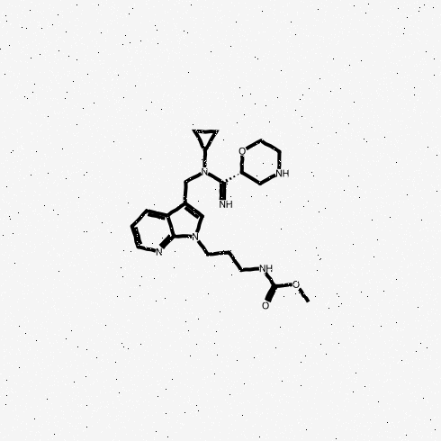 COC(=O)NCCCn1cc(CN(C(=N)[C@H]2CNCCO2)C2CC2)c2cccnc21